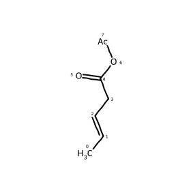 CC=CCC(=O)OC(C)=O